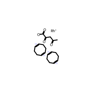 C1=C\CC/C=C\CC/1.C1=C\CC/C=C\CC/1.CC(=O)CC(=O)C(=O)[O-].[Rh+]